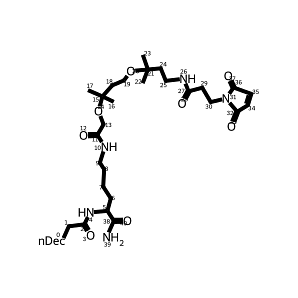 CCCCCCCCCCCC(=O)NC(CCCCNC(=O)COC(C)(C)CCOC(C)(C)CCNC(=O)CCN1C(=O)C=CC1=O)C(N)=O